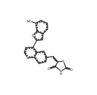 N#Cc1cccc2cc(-c3ccnc4ccc(C=C5SC(=O)NC5=O)cc34)sc12